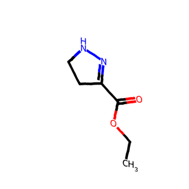 CCOC(=O)C1=NNCC1